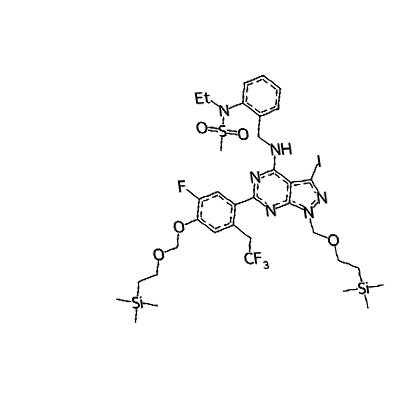 CCN(c1ccccc1CNc1nc(-c2cc(F)c(OCOCC[Si](C)(C)C)cc2CC(F)(F)F)nc2c1c(I)nn2COCC[Si](C)(C)C)S(C)(=O)=O